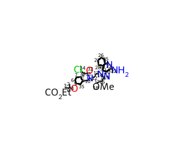 CCOC(=O)C(C)(C)Oc1cccc(CN(CCn2c(CCOC)nc3c(N)nc4ccccc4c32)C(=O)CCl)c1